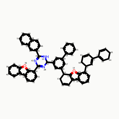 C1=CC(C2=CC(c3cccc4c5c(oc34)C(c3cc(-c4ccccc4)cc(C4N=C(c6cccc7c6oc6ccccc67)N=C(c6ccc7ccccc7c6)N4)c3)CC=C5)CC=C2)=CCC1